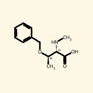 CN[C@H](C(=O)O)[C@@H](C)OCc1ccccc1